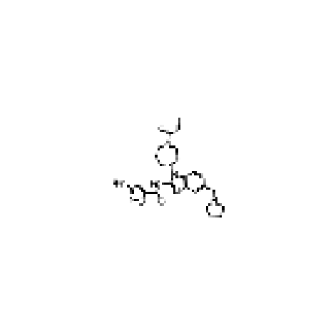 C=CC(=O)N1CCC[C@@H](n2c(NC(=O)c3cc(C(C)C)no3)nc3cc(CN4CCCC4)ccc32)CC1